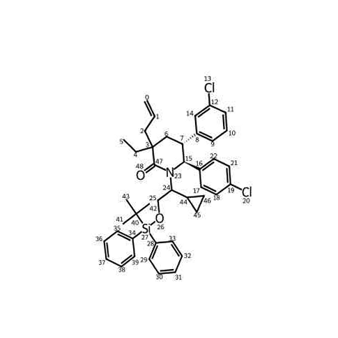 C=CCC1(CC)C[C@H](c2cccc(Cl)c2)[C@@H](c2ccc(Cl)cc2)N(C(CO[Si](c2ccccc2)(c2ccccc2)C(C)(C)C)C2CC2)C1=O